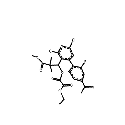 C=C(C)c1ccc(-c2cc(Cl)nc(Cl)c2C(OC(=O)C(=O)OCC)C(C)(C)C(=O)OC)c(F)c1